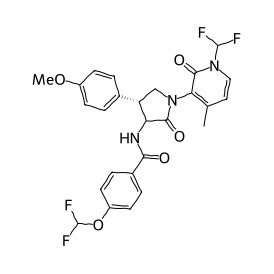 COc1ccc([C@@H]2CN(c3c(C)ccn(C(F)F)c3=O)C(=O)C2NC(=O)c2ccc(OC(F)F)cc2)cc1